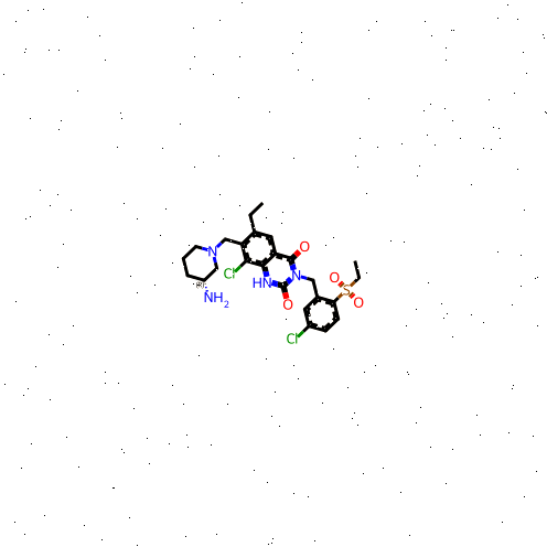 CCc1cc2c(=O)n(Cc3cc(Cl)ccc3S(=O)(=O)CC)c(=O)[nH]c2c(Cl)c1CN1CCC[C@@H](N)C1